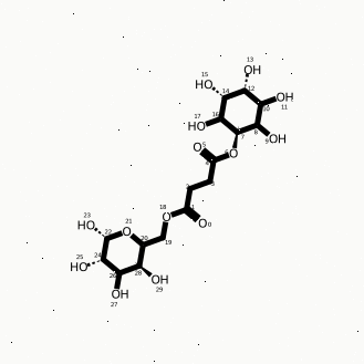 O=C(CCC(=O)O[C@@H]1C(O)C(O)[C@@H](O)[C@@H](O)C1O)OCC1O[C@@H](O)[C@@H](O)C(O)[C@@H]1O